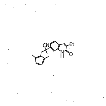 CCc1cc2ccc(C(C)(C#N)Cc3c(C)cccc3C)cc2[nH]c1=O